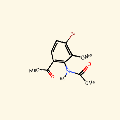 CCN(C(=O)OC)c1c(C(=O)OC)ccc(Br)c1OC